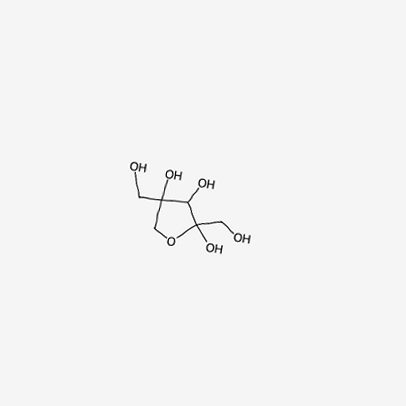 OCC1(O)COC(O)(CO)C1O